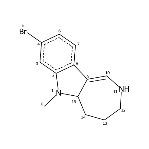 CN1c2cc(Br)ccc2C2=CNCCCC21